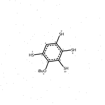 CC(C)COc1c(S)cc(S)c(S)c1S